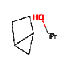 C1CC2CC12.CC(C)O